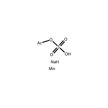 CC(=O)OS(=O)(=O)O.[Mn].[NaH]